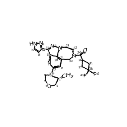 C[C@@H]1COCCN1c1cc2c3c(n1)c(-c1cc[nH]n1)nn3CCN(C(=O)C1CC(F)(F)C1)C2